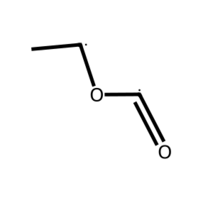 C[CH]O[C]=O